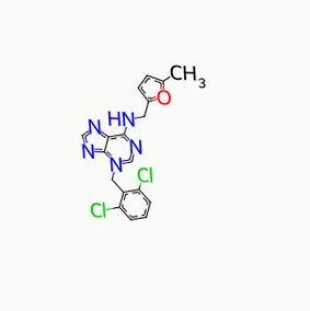 Cc1ccc(CNc2ncn(Cc3c(Cl)cccc3Cl)c3ncnc2-3)o1